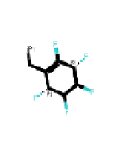 CC(C)CC1=C(F)[C@H](F)C(F)C(F)[C@@H]1F